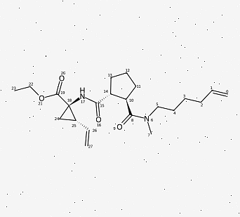 C=CCCCCN(C)C(=O)[C@@H]1CCC[C@H]1C(=O)N[C@]1(C(=O)OCC)C[C@H]1C=C